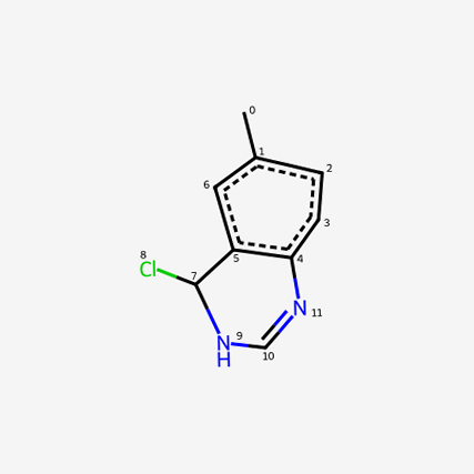 Cc1ccc2c(c1)C(Cl)NC=N2